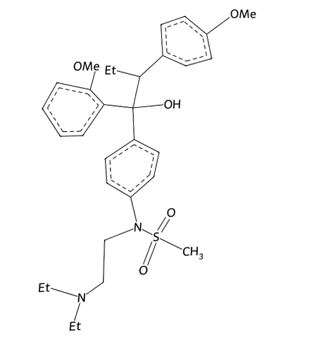 CCC(c1ccc(OC)cc1)C(O)(c1ccc(N(CCN(CC)CC)S(C)(=O)=O)cc1)c1ccccc1OC